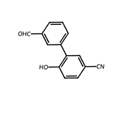 N#Cc1ccc(O)c(-c2cccc(C=O)c2)c1